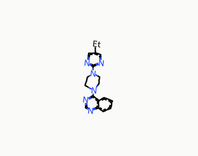 CCc1cnc(N2CCN(c3ncnc4ccccc34)CC2)nc1